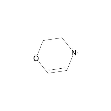 C1=COCC[N]1